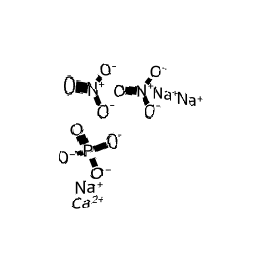 O=P([O-])([O-])[O-].O=[N+]([O-])[O-].O=[N+]([O-])[O-].[Ca+2].[Na+].[Na+].[Na+]